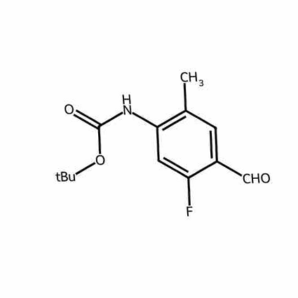 Cc1cc(C=O)c(F)cc1NC(=O)OC(C)(C)C